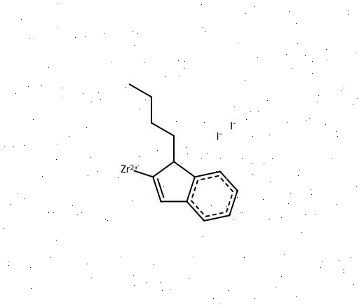 CCCCC1[C]([Zr+2])=Cc2ccccc21.[I-].[I-]